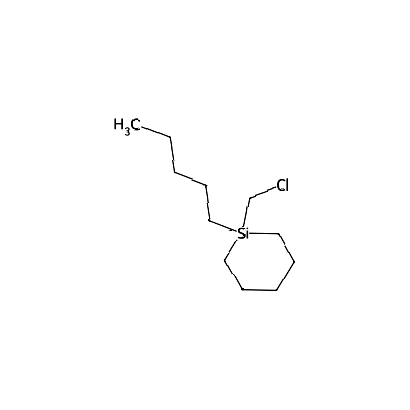 CCCCC[Si]1(CCl)CCCCC1